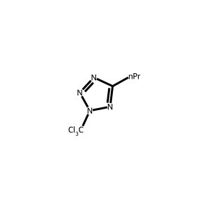 CCCc1nnn(C(Cl)(Cl)Cl)n1